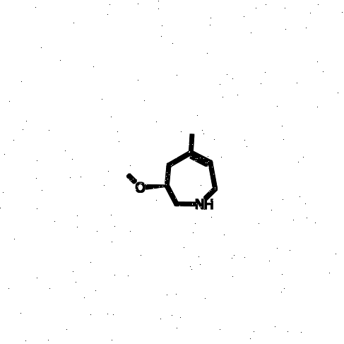 CO[C@@H]1CNCC=C(C)C1